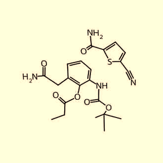 CCC(=O)Oc1c(CC(N)=O)cccc1NC(=O)OC(C)(C)C.N#Cc1ccc(C(N)=O)s1